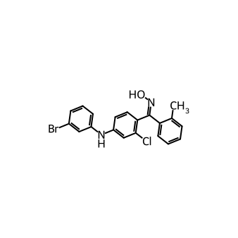 Cc1ccccc1C(=NO)c1ccc(Nc2cccc(Br)c2)cc1Cl